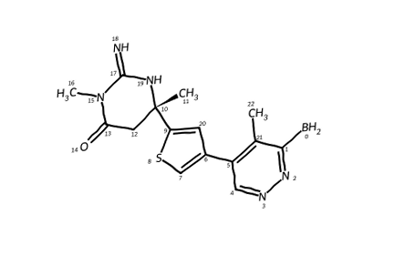 Bc1nncc(-c2csc([C@]3(C)CC(=O)N(C)C(=N)N3)c2)c1C